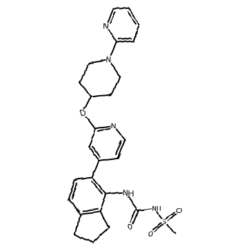 CS(=O)(=O)NC(=O)Nc1c(-c2ccnc(OC3CCN(c4ccccn4)CC3)c2)ccc2c1CCC2